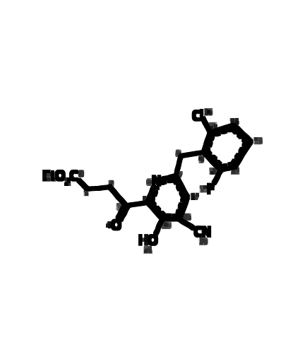 CCOC(=O)CCC(=O)c1nc(Cc2c(F)cccc2Cl)cc(C#N)c1O